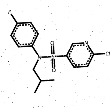 CC(C)CN(c1ccc(F)cc1)S(=O)(=O)c1ccc(Cl)nc1